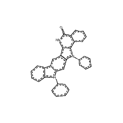 O=c1[nH]c2c3cc4c5ccccc5n(-c5ccccc5)c4cc3n(-c3ccccc3)c2c2ccccc12